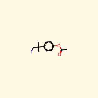 CC(=O)Oc1ccc(C(C)(C)CI)cc1